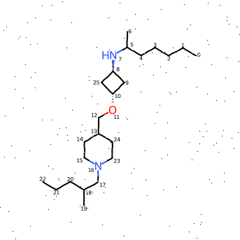 CCCCCC(C)N[C@H]1C[C@H](OCC2CCN(CC(C)CCC)CC2)C1